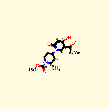 COC(=O)c1cn(C2CCN(C(=O)OC(C)(C)C)[C@H](C)C2)c(=O)cc1O